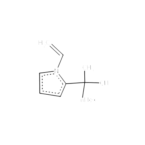 C=Cn1cccc1C(C)(C)CCCCCC